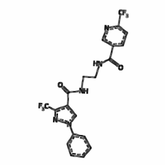 O=C(NCCNC(=O)c1cn(-c2ccccc2)nc1C(F)(F)F)c1ccc(C(F)(F)F)nc1